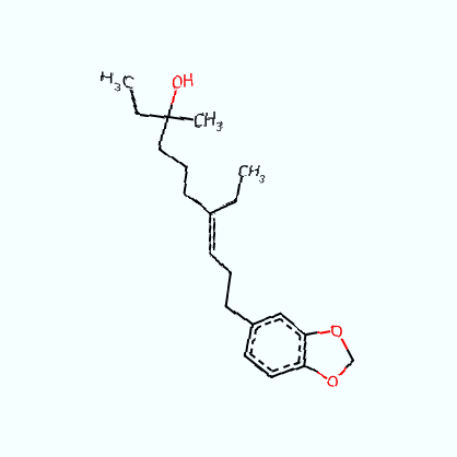 CC/C(=C\CCc1ccc2c(c1)OCO2)CCCC(C)(O)CC